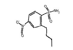 CCCCc1cc([N+](=O)[O-])ccc1S(N)(=O)=O